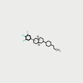 CCCC1CCC(C2CC[C@@H]3C[C@H](c4cc(F)c(F)c(F)c4)CC[C@@H]3C2)CC1